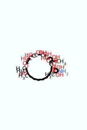 COC(=O)C1[C@@H]2CC(OC3O[C@H](C)[C@@H](O)[C@H](N)[C@H]3O)/C=C/C=C/C=C/C=C/C=C/C=C/C=C/[C@H](C)C(O)[C@@H](C)[C@H](C)OC(=O)CC(O)CC(O)CCC(O)C(O)CC(O)CC(O)(C[C@@H]1O)O2